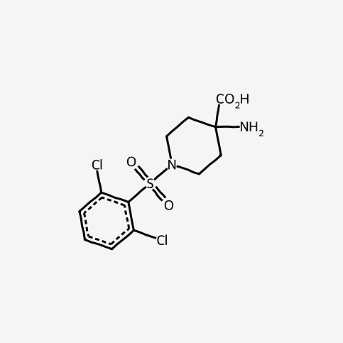 NC1(C(=O)O)CCN(S(=O)(=O)c2c(Cl)cccc2Cl)CC1